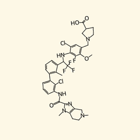 COc1c(CN2CCC(C(=O)O)C2)cc(Cl)c(NC(c2cccc(-c3cccc(NC(=O)c4nc5c(n4C)CCN(C)C5)c3Cl)c2C)C(F)(F)F)c1F